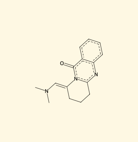 CN(C)C=C1CCCc2nc3ccccc3c(=O)n21